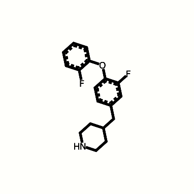 Fc1ccccc1Oc1ccc(CC2CCNCC2)cc1F